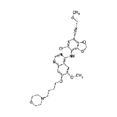 COCC#Cc1cc(Cl)c(Nc2ncnc3cc(OCCCCN4CCOCC4)c(OC)cc23)c2c1OCO2